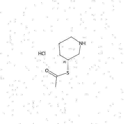 CC(=O)S[C@@H]1CCCNC1.Cl